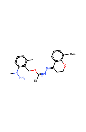 CC/C(=N/N=C1CCOc2c(OC)cccc21)OCc1c(C)cccc1N(C)N